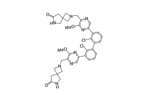 COc1nc(-c2cccc(-c3cccc(-c4cnc(CN5CC6(CNC(=O)C6)C5)c(OC)n4)c3Cl)c2Cl)cnc1CN1CC2(CNC(=O)C2)C1